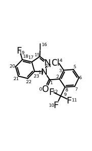 O=C(c1c(Cl)cccc1C(F)(F)F)n1nc(I)c2c(F)cccc21